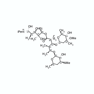 CCC[C@@H](C)[C@H](O)[C@H](C)[C@@H](O)[C@](C)(O)[C@@H](CC)OC(=O)[C@H](C)[C@@H](O[C@H]1C[C@@](C)(OC)[C@@H](O)[C@H](C)O1)[C@H](C)[C@H](C)O[C@@H]1O[C@H](C)C[C@H](NC)[C@H]1O